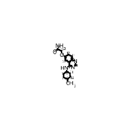 CC1CCC(Nc2ncnc3ccc(OCC(N)=O)cc23)CC1